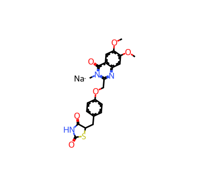 COc1cc2nc(COc3ccc(CC4SC(=O)NC4=O)cc3)n(C)c(=O)c2cc1OC.[Na]